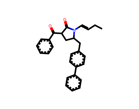 CCC=CN1C(=O)C(C(=O)c2ccccc2)CC1Cc1ccc(-c2ccccc2)cc1